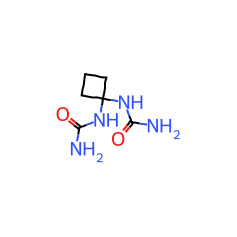 NC(=O)NC1(NC(N)=O)CCC1